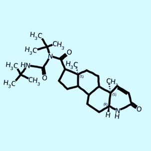 CC(C)(C)NC(=O)N(C(=O)C1CCC2C3CC[C@H]4NC(=O)C=C[C@]4(C)C3CC[C@]12C)C(C)(C)C